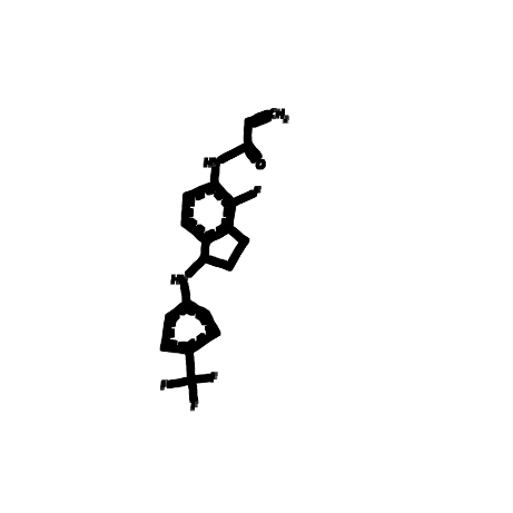 C=CC(=O)Nc1ccc2c(c1F)CCC2Nc1ccc(C(F)(F)F)cc1